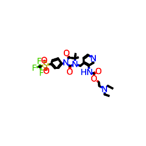 CCN(CC)CCOC(=O)Nc1cnccc1CN1C(=O)N(c2ccc(S(=O)(=O)C(F)(F)F)cc2)C(=O)C1(C)C